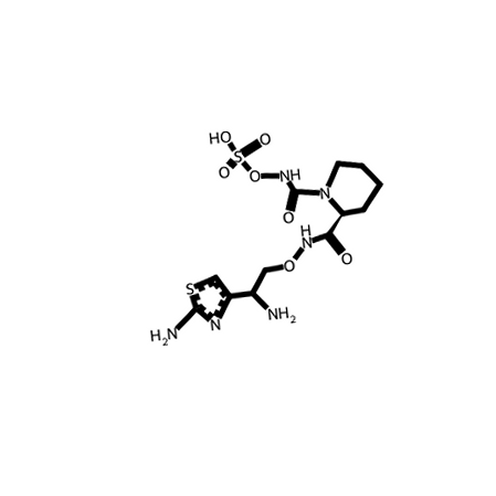 Nc1nc(C(N)CONC(=O)[C@@H]2CCCCN2C(=O)NOS(=O)(=O)O)cs1